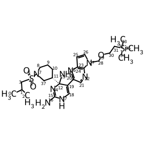 CC(C)CS(=O)(=O)N1CCC[C@H](C2(N)N=C(N)NC=C2c2cnc3c(ccn3COCC[Si](C)(C)C)n2)C1